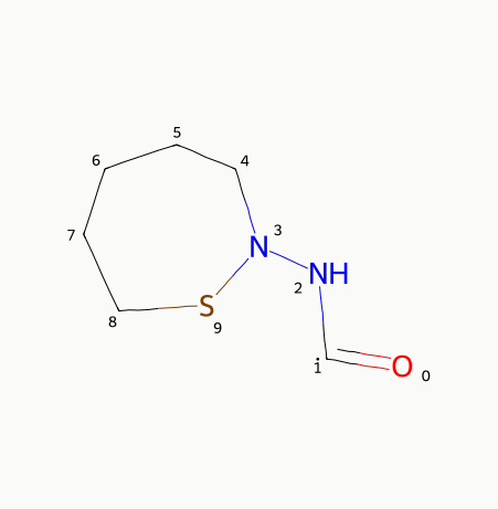 O=[C]NN1CCCCCS1